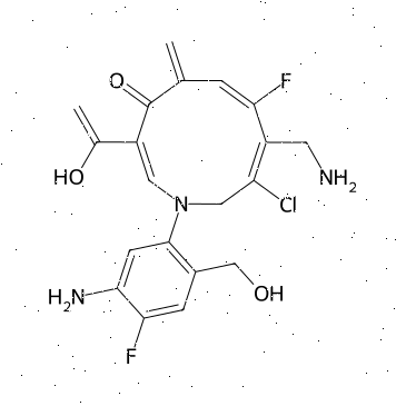 C=C1/C=C(F)\C(CN)=C(\Cl)CN(c2cc(N)c(F)cc2CO)/C=C(/C(=C)O)C1=O